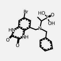 CC(N(Cc1ccccc1)Cc1cc(Br)cc2[nH]c(=O)c(=O)[nH]c12)P(=O)(O)O